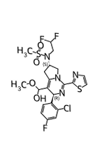 COC(O)C1=C2C[C@H](N(CC(F)F)S(C)(=O)=O)CN2C(c2nccs2)=N[C@H]1c1ccc(F)cc1Cl